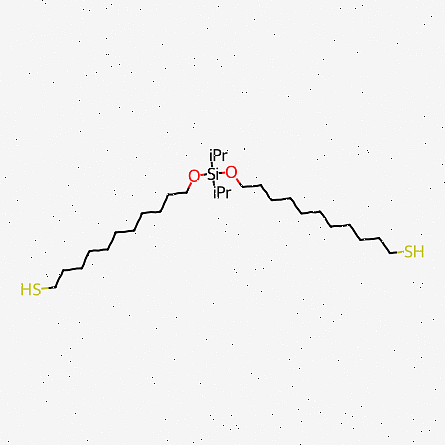 CC(C)[Si](OCCCCCCCCCCCS)(OCCCCCCCCCCCS)C(C)C